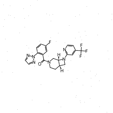 O=C(c1cc(F)ccc1-n1nccn1)N1CC[C@H]2CN(c3cc(C(F)(F)F)ccn3)[C@H]2C1